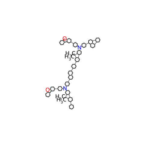 CC1(C)c2cc(-c3ccccc3)ccc2-c2ccc(N(c3ccc(-c4ccc5cc(-c6ccc(-c7ccc8c(c7)C(C)(C)c7cc(N(c9ccc(-c%10ccc%11oc%12ccccc%12c%11c%10)cc9)c9ccc(-c%10ccc%11c%12c(cccc%10%12)-c%10ccccc%10-%11)cc9)ccc7-8)cc6)ccc5c4)cc3)c3ccc(-c4ccc5oc6ccccc6c5c4)cc3)cc21